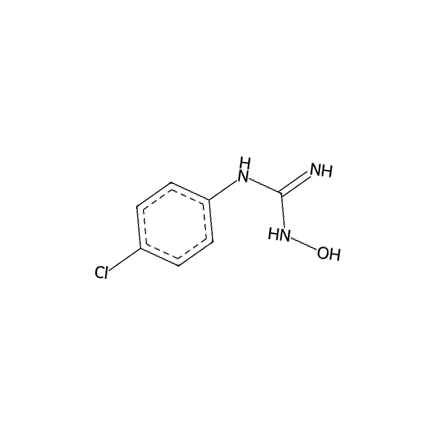 N=C(NO)Nc1ccc(Cl)cc1